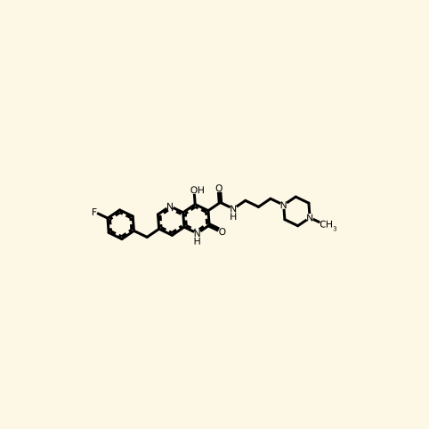 CN1CCN(CCCNC(=O)c2c(O)c3ncc(Cc4ccc(F)cc4)cc3[nH]c2=O)CC1